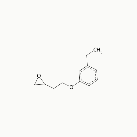 CCc1cccc(OCCC2CO2)c1